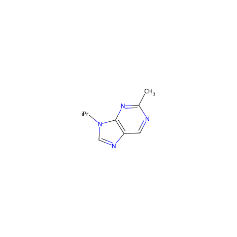 Cc1ncc2ncn(C(C)C)c2n1